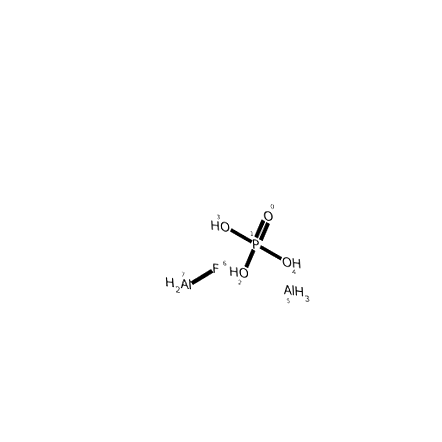 O=P(O)(O)O.[AlH3].[F][AlH2]